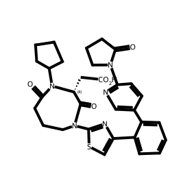 O=C(O)C[C@@H]1C(=O)N(c2nc(-c3ccccc3-c3ccc(N4CCCC4=O)nc3)cs2)CCCC(=O)N1C1CCCC1